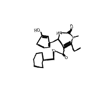 CCC1=C(C(=O)OCC2CCCCC2)C(c2cccc(O)c2)NC(=O)N1C